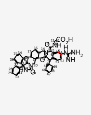 N=C(N)NCCC[C@H](C(=O)NCC(=O)O)N(Cc1cccc(CN2C(=O)NC(c3ccccc3)(c3ccccc3)C2=O)c1)C(=O)C(c1ccccc1)c1ccccc1